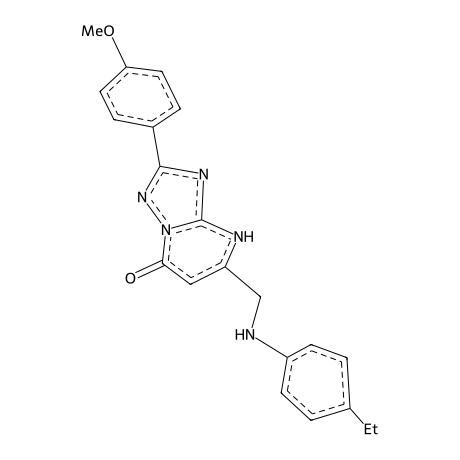 CCc1ccc(NCc2cc(=O)n3nc(-c4ccc(OC)cc4)nc3[nH]2)cc1